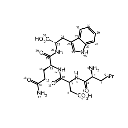 CC(C)C[C@H](N)C(=O)N[C@@H](CC(=O)O)C(=O)N[C@@H](CCC(N)=O)C(=O)N[C@@H](Cc1c[nH]c2ccccc12)C(=O)O